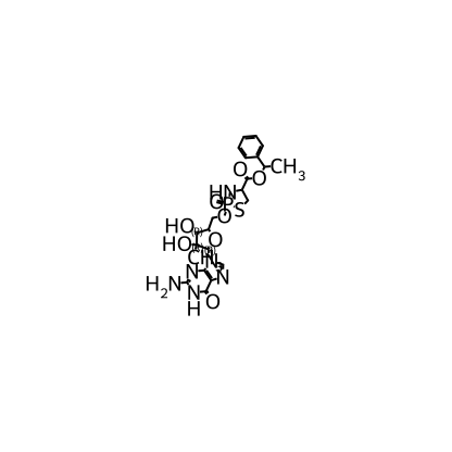 CC(OC(=O)C1CSP(=O)(OCC2O[C@@H](n3cnc4c(=O)[nH]c(N)nc43)[C@](C)(O)[C@@H]2O)N1)c1ccccc1